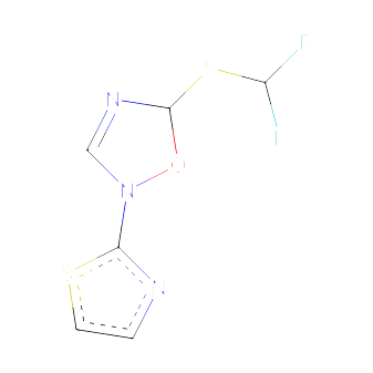 FC(F)SC1N=CN(c2nccs2)O1